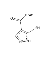 CNC(=O)c1cn[nH]c1S